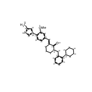 COc1cc(C=C2CCCN(Cc3ccccc3N3CCCCC3)C2=O)ccc1-n1cnc(C)c1